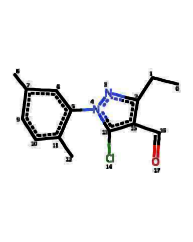 CCc1nn(-c2cc(C)ccc2C)c(Cl)c1C=O